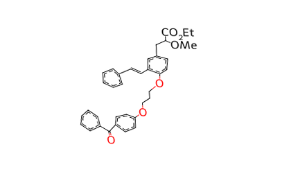 CCOC(=O)C(Cc1ccc(OCCCOc2ccc(C(=O)c3ccccc3)cc2)c(C=Cc2ccccc2)c1)OC